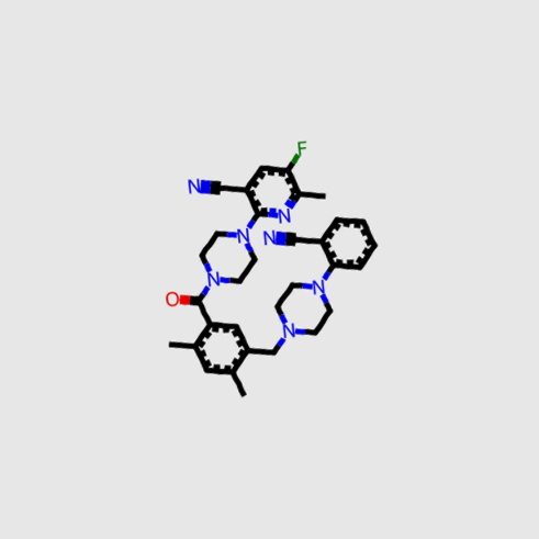 Cc1cc(C)c(C(=O)N2CCN(c3nc(C)c(F)cc3C#N)CC2)cc1CN1CCN(c2ccccc2C#N)CC1